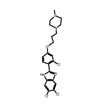 CN1CCN(CCCOc2ccc(-c3nc4cc(Cl)c(Cl)cc4[nH]3)c(Cl)c2)CC1